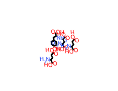 N[C@@H](CCC(=O)O)C(=O)O.N[C@@H](CCC(=O)O)C(=O)O.N[C@@H](CCC(=O)O)C(=O)O.N[C@@H](Cc1ccc(O)cc1)C(=O)O